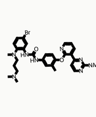 CNc1nccc(-c2cccnc2Oc2ccc(NC(=O)Nc3cc(Br)ccc3N(C)CCCN(C)C)cc2C)n1